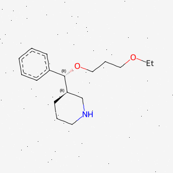 CCOCCCO[C@@H](c1ccccc1)[C@@H]1CCCNC1